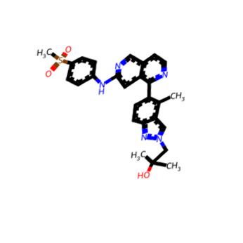 Cc1c(-c2nccc3cnc(Nc4ccc(S(C)(=O)=O)cc4)cc23)ccc2nn(CC(C)(C)O)cc12